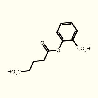 O=C(O)CCCC(=O)Oc1ccccc1C(=O)O